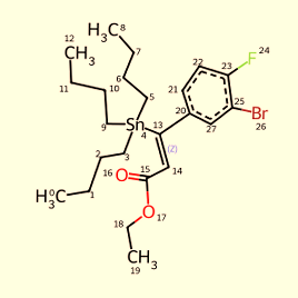 CCC[CH2][Sn]([CH2]CCC)([CH2]CCC)/[C](=C\C(=O)OCC)c1ccc(F)c(Br)c1